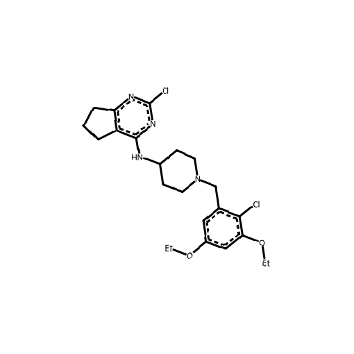 CCOc1cc(CN2CCC(Nc3nc(Cl)nc4c3CCC4)CC2)c(Cl)c(OCC)c1